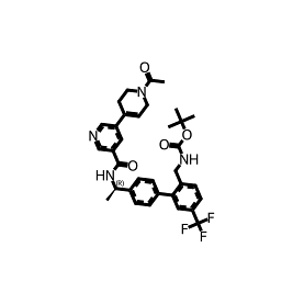 CC(=O)N1CC=C(c2cncc(C(=O)N[C@H](C)c3ccc(-c4cc(C(F)(F)F)ccc4CNC(=O)OC(C)(C)C)cc3)c2)CC1